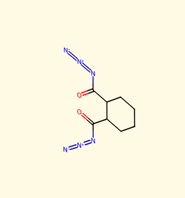 [N-]=[N+]=NC(=O)C1CCCCC1C(=O)N=[N+]=[N-]